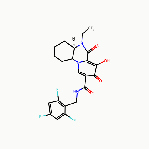 O=C(NCc1c(F)cc(F)cc1F)c1cn2c(c(O)c1=O)C(=O)N(CC(F)(F)F)[C@@H]1CCCCC12